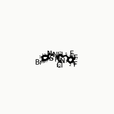 Fc1ccc(Cc2cc(Nc3nc4ccc(Br)cc4s3)nc(Cl)n2)c(F)c1F